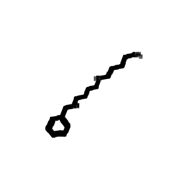 NCCCCNCCCCNCc1ccccc1